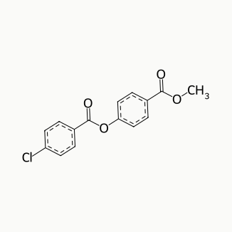 COC(=O)c1ccc(OC(=O)c2ccc(Cl)cc2)cc1